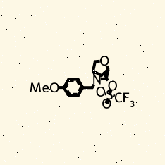 COc1ccc(CN2C(OS(=O)(=O)C(F)(F)F)=C3CC2CO3)cc1